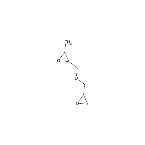 CC1OC1COCC1CO1